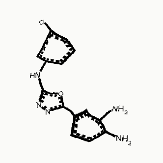 Nc1ccc(-c2nnc(Nc3cccc(Cl)c3)o2)cc1N